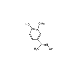 COc1cc(C(C)=NO)ccc1O